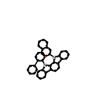 c1ccc(-c2ccccc2-n2c3ccccc3c3ccc4c5ccccc5n(-c5ccc6ccccc6c5)c4c32)cc1